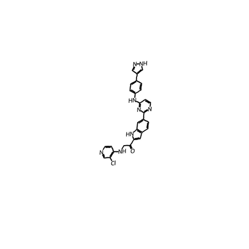 O=C(CNc1ccncc1Cl)c1cc2ccc(-c3nccc(Nc4ccc(-c5cn[nH]c5)cc4)n3)cc2[nH]1